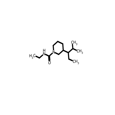 CCNC(=O)N1CCCC(C(CC)C(C)C)C1